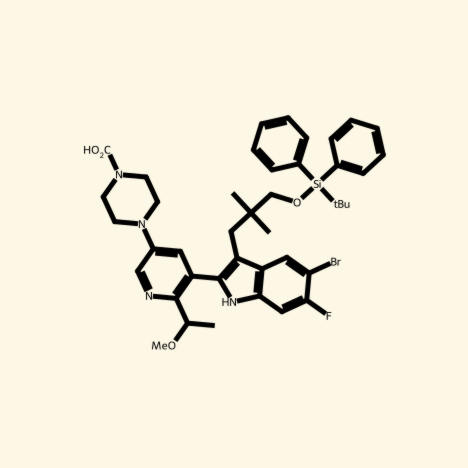 COC(C)c1ncc(N2CCN(C(=O)O)CC2)cc1-c1[nH]c2cc(F)c(Br)cc2c1CC(C)(C)CO[Si](c1ccccc1)(c1ccccc1)C(C)(C)C